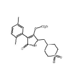 CCOC(=O)OC1=C(c2cc(C)ccc2C)C(=O)NC1CC1CCS(=O)(=O)CC1